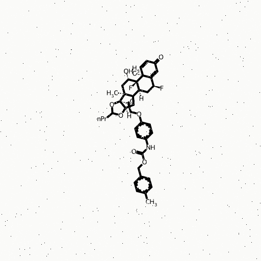 CCCC1O[C@@H]2CC3[C@@H]4C[C@H](F)C5=CC(=O)C=C[C@]5(C)[C@@]4(F)[C@@H](O)C[C@]3(C)[C@]2(C(=O)COc2ccc(NC(=O)OCc3ccc(C)cc3)cc2)O1